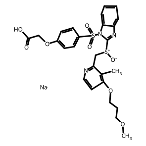 COCCCOc1ccnc(C[S+]([O-])c2nc3ccccc3n2S(=O)(=O)c2ccc(OCC(=O)O)cc2)c1C.[Na]